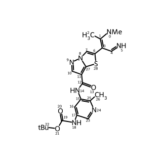 CN/C(C)=C(\C=N)c1cn2ncc(C(=O)Nc3cc(NC(=O)OC(C)(C)C)cnc3C)c2s1